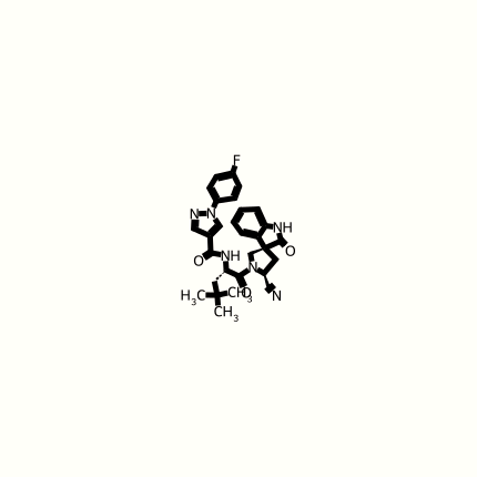 CC(C)(C)C[C@H](NC(=O)c1cnn(-c2ccc(F)cc2)c1)C(=O)N1C[C@]2(C[C@H]1C#N)C(=O)Nc1ccccc12